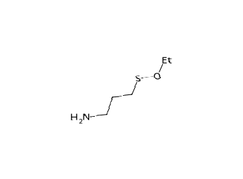 CCOSCCCN